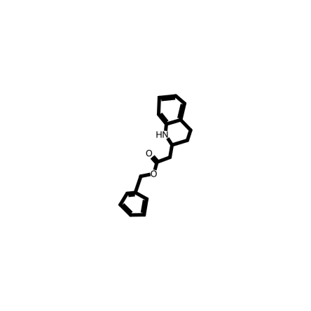 O=C(CC1CCc2ccccc2N1)OCc1ccccc1